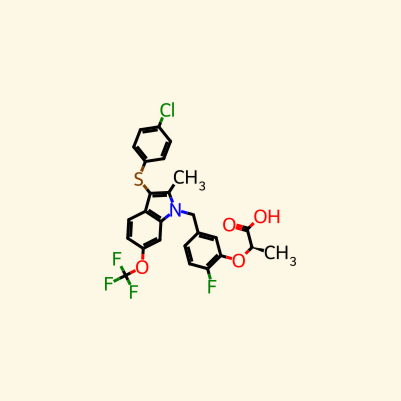 Cc1c(Sc2ccc(Cl)cc2)c2ccc(OC(F)(F)F)cc2n1Cc1ccc(F)c(O[C@H](C)C(=O)O)c1